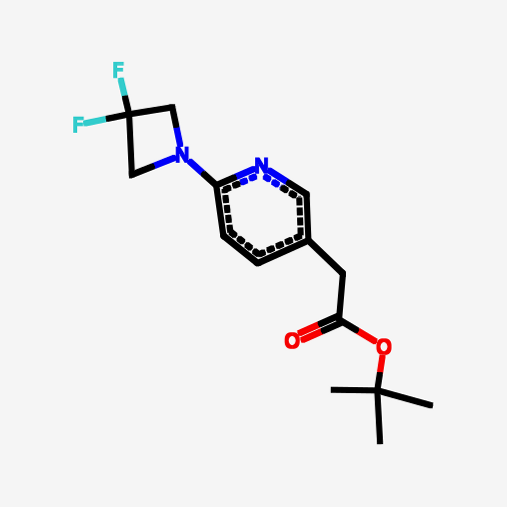 CC(C)(C)OC(=O)Cc1ccc(N2CC(F)(F)C2)nc1